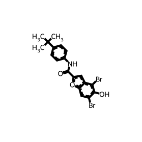 CC(C)(C)c1ccc(NC(=O)c2cc3c(Br)c(O)c(Br)cc3o2)cc1